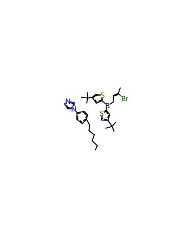 CC(Br)=CCB(c1cc(C(C)(C)C)cs1)c1cc(C(C)(C)C)cs1.CCCCCCc1ccc(-n2ccnc2)cc1